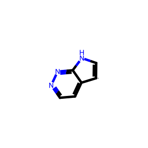 [c]1c[nH]c2nnccc12